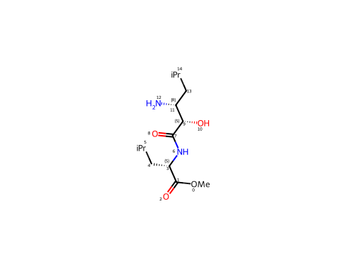 COC(=O)[C@H](CC(C)C)NC(=O)[C@@H](O)[C@H](N)CC(C)C